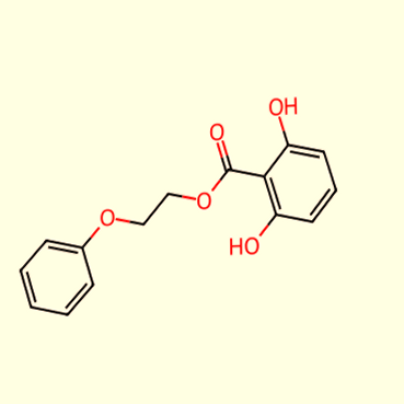 O=C(OCCOc1ccccc1)c1c(O)cccc1O